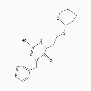 O=C(O)NC(CCO[C@H]1CCCCO1)C(=O)OCc1ccccc1